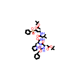 CC(C)[C@H](NC(=O)[C@H](Cc1ccccn1)NC(=O)[C@H](CC(=O)OC(C)(C)C)NC(=O)OCc1ccccc1)C(=O)N[C@H](/C=C/S(=O)(=O)c1ccccc1)CC(=O)OC(C)(C)C